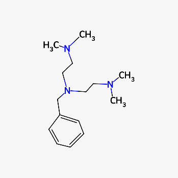 CN(C)CCN(CCN(C)C)Cc1ccccc1